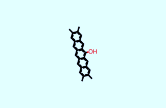 Cc1cc2cc3cc4cc5cc(C)c(C)cc5cc4c(O)c3cc2cc1C